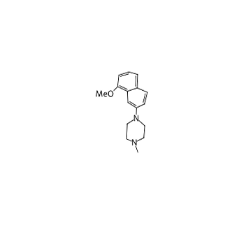 COc1cccc2ccc(N3CCN(C)CC3)cc12